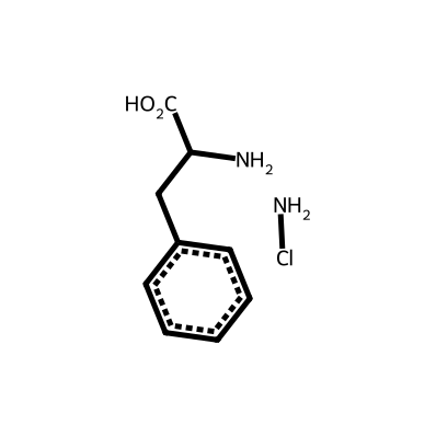 NC(Cc1ccccc1)C(=O)O.NCl